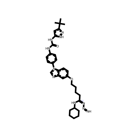 CC(C)(C)c1cc(NC(=O)Nc2ccc(-n3cnc4cc(OCCCC/C(=N/N=N)NC5CCCCC5)ccc43)cc2)[nH]n1